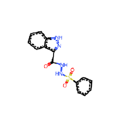 O=C(NNS(=O)(=O)c1ccccc1)c1n[nH]c2ccccc12